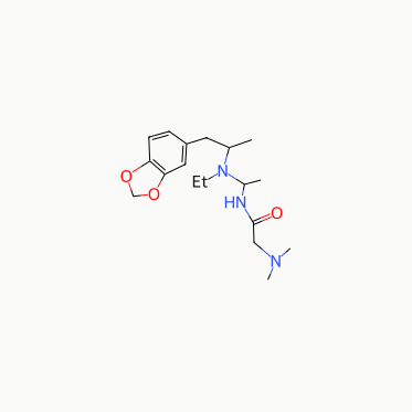 CCN(C(C)Cc1ccc2c(c1)OCO2)C(C)NC(=O)CN(C)C